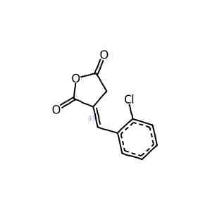 O=C1C/C(=C\c2ccccc2Cl)C(=O)O1